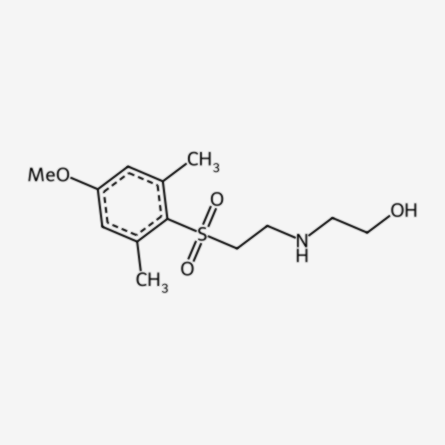 COc1cc(C)c(S(=O)(=O)CCNCCO)c(C)c1